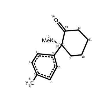 CN[C@@]1(c2ccc(C(F)(F)F)cc2)CCCCC1=O